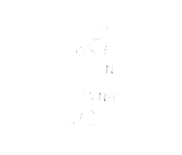 CCOc1cc(CN2CCC(NC(=O)c3cc(OC)cc(C4CC4)c3)CC2)cc(OCC)c1C1CC1